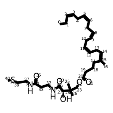 CC/C=C\C/C=C\C/C=C\C/C=C\C/C=C(/C)CCCC(=O)OCC(C)(C)[C@@H](O)C(=O)NCCC(=O)NCCSC